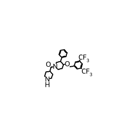 O=C(C1CCNCC1)N1CCC(OCc2cc(C(F)(F)F)cc(C(F)(F)F)c2)C(c2ccccc2)C1